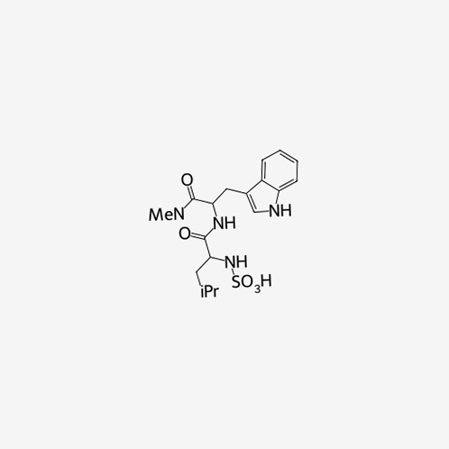 CNC(=O)C(Cc1c[nH]c2ccccc12)NC(=O)C(CC(C)C)NS(=O)(=O)O